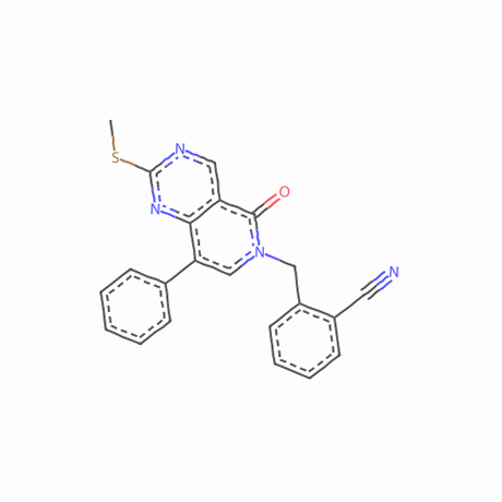 CSc1ncc2c(=O)n(Cc3ccccc3C#N)cc(-c3ccccc3)c2n1